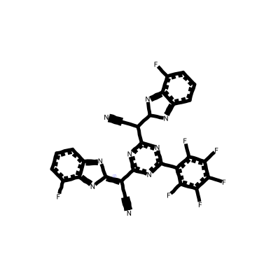 N#C/C(=C1/N=c2cccc(F)c2=N1)c1nc(-c2c(F)c(F)c(F)c(F)c2F)nc(C(C#N)C2N=c3cccc(F)c3=N2)n1